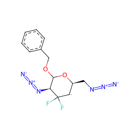 [N-]=[N+]=NC[C@H]1[CH]C(F)(F)[C@@H](N=[N+]=[N-])C(OCc2ccccc2)O1